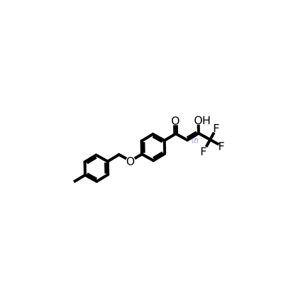 Cc1ccc(COc2ccc(C(=O)/C=C(\O)C(F)(F)F)cc2)cc1